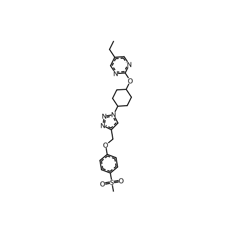 CCc1cnc(OC2CCC(n3cc(COc4ccc(S(C)(=O)=O)cc4)nn3)CC2)nc1